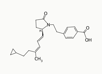 CC(=CC=C[C@H]1CCC(=O)N1CCc1ccc(C(=O)O)cc1)CCC1CC1